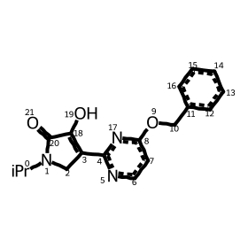 CC(C)N1CC(c2nccc(OCc3ccccc3)n2)=C(O)C1=O